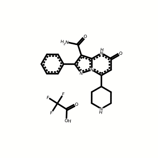 NC(=O)c1c(-c2ccccc2)nn2c(C3CCNCC3)cc(=O)[nH]c12.O=C(O)C(F)(F)F